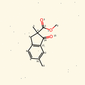 COC(=O)C1(C)Cc2ccc(C)cc2C1=O